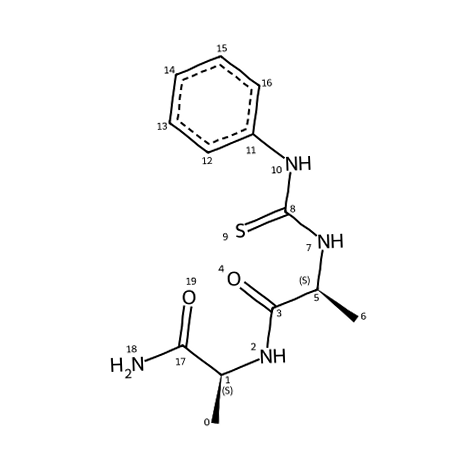 C[C@H](NC(=O)[C@H](C)NC(=S)Nc1ccccc1)C(N)=O